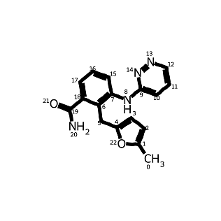 Cc1ccc(Cc2c(Nc3cccnn3)cccc2C(N)=O)o1